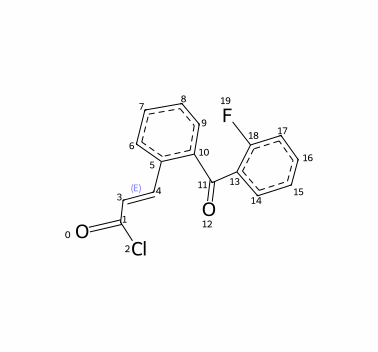 O=C(Cl)/C=C/c1ccccc1C(=O)c1ccccc1F